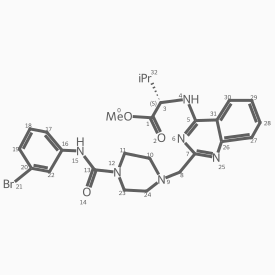 COC(=O)[C@@H](Nc1nc(CN2CCN(C(=O)Nc3cccc(Br)c3)CC2)nc2ccccc12)C(C)C